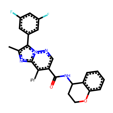 Cc1nc2c(C(C)C)c(C(=O)NC3CCOc4ccccc43)cnn2c1-c1cc(F)cc(F)c1